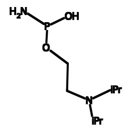 CC(C)N(CCOP(N)O)C(C)C